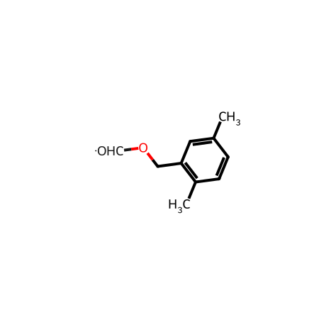 Cc1ccc(C)c(CO[C]=O)c1